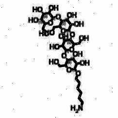 NCCCCCCO[C@H]1OC(CO)[C@H](O[C@H]2OC(CO)[C@@H](O[C@@H]3OC(CO)[C@@H](O[C@H]4OC(CO)[C@H](O)[C@H](O)C4O)[C@H](O)C3O)[C@H](O)C2O)[C@H](O)C1O